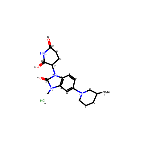 CNC1CCCN(c2ccc3c(c2)n(C)c(=O)n3C2CCC(=O)NC2=O)C1.Cl